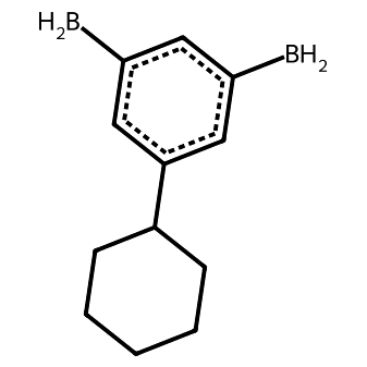 Bc1cc(B)cc(C2CCCCC2)c1